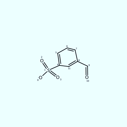 [O]S(=O)(=O)c1cccc(C=O)c1